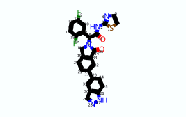 O=C(Nc1nccs1)C(c1cc(F)ccc1F)N1Cc2ccc(-c3ccc4[nH]ncc4c3)cc2C1=O